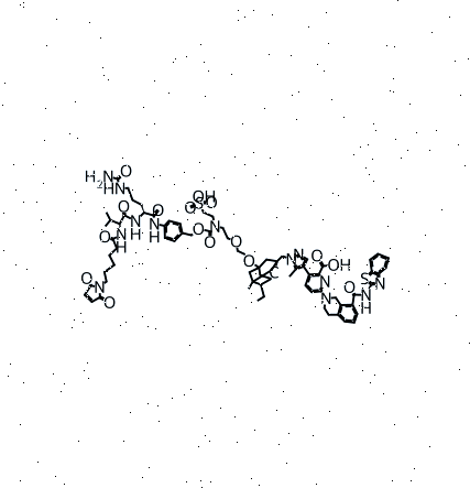 CCC1C2CC3(Cn4ncc(-c5ccc(N6CCc7cccc(C(=O)Nc8nc9ccccc9s8)c7C6)nc5C(=O)O)c4C)CC(OCCOCCN(CCS(=O)(=O)O)C(=O)OCc4ccc(NC(=O)[C@H](CCCNC(N)=O)NC(=O)[C@@H](NC(=O)CCCCCN5C(=O)C=CC5=O)C(C)C)cc4)(C2)CC1(C)C3